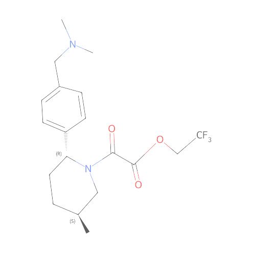 C[C@H]1CC[C@H](c2ccc(CN(C)C)cc2)N(C(=O)C(=O)OCC(F)(F)F)C1